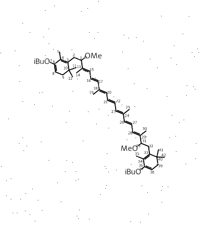 COC(CC1=C(C)C(OCC(C)C)=CCC1(C)C)/C(C)=C/C=C/C(C)=C/C=C/C=C(C)/C=C/C=C(\C)C(CC1=C(C)C(OCC(C)C)=CCC1(C)C)OC